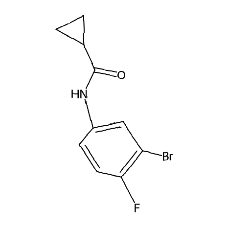 O=C(Nc1ccc(F)c(Br)c1)C1CC1